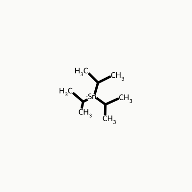 C[CH](C)[Sn]([CH](C)C)[CH](C)C